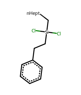 CCCCCCCC[Si](Cl)(Cl)CCc1ccccc1